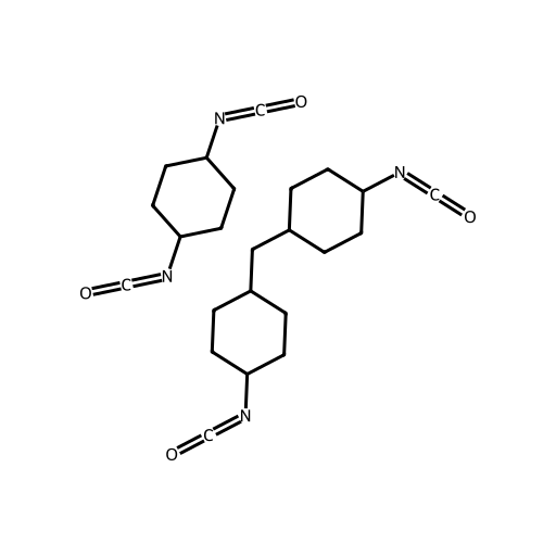 O=C=NC1CCC(CC2CCC(N=C=O)CC2)CC1.O=C=NC1CCC(N=C=O)CC1